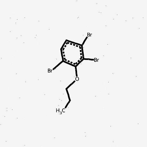 CCCOc1c(Br)ccc(Br)c1Br